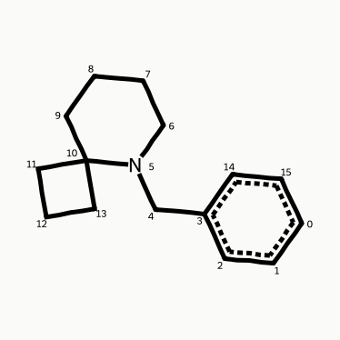 c1ccc(CN2CCCCC23CCC3)cc1